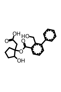 O=C(O)CC1(OC(=O)c2cccc(-c3ccccc3)c2CO)CCCC1O